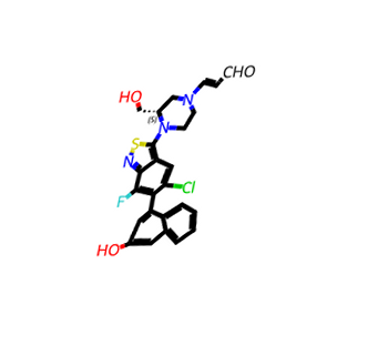 O=CC=CN1CCN(c2snc3c(F)c(-c4cc(O)cc5ccccc45)c(Cl)cc23)[C@H](CO)C1